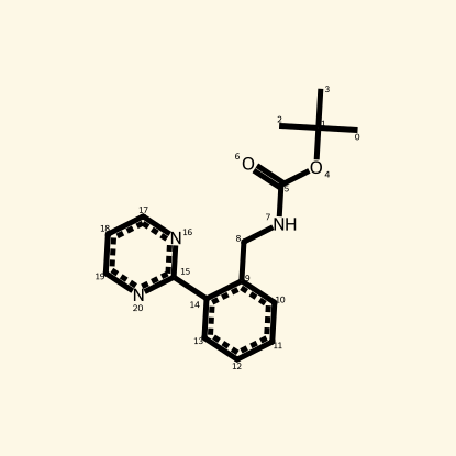 CC(C)(C)OC(=O)NCc1ccccc1-c1ncccn1